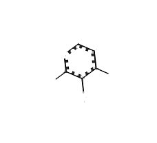 Cc1nccc(Cl)c1Br